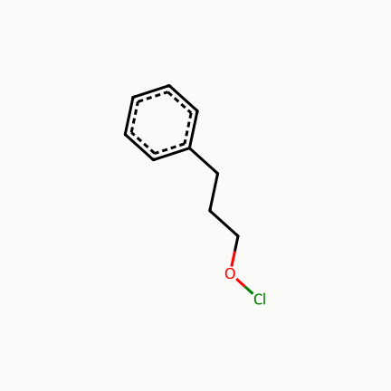 ClOCCCc1ccccc1